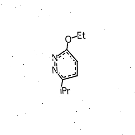 CCOc1ccc(C(C)C)nn1